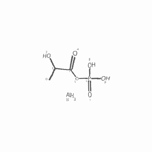 CC(O)C(=O)OP(=O)(O)O.[AlH3]